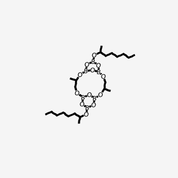 CCCCCCC(C)OB1OB2OCC(C)OB3OB(OCC(C)OB(O2)O1)OB(OC(C)CCCCCC)O3